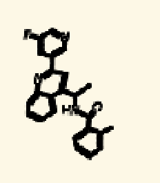 Cc1ccccc1C(=O)NC(C)c1cc(-c2cncc(F)c2)nc2ccccc12